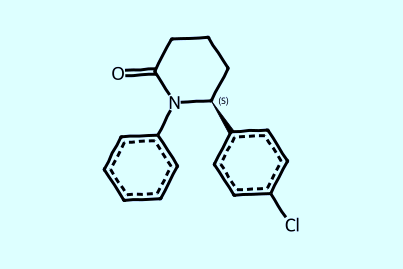 O=C1CCC[C@@H](c2ccc(Cl)cc2)N1c1ccccc1